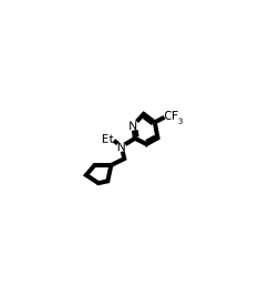 CCN(CC1CCCC1)c1[c]cc(C(F)(F)F)cn1